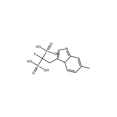 Cc1ccn2c(CC(F)(P(=O)(O)O)P(=O)(O)O)cnc2c1